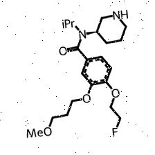 COCCCOc1cc(C(=O)N(C(C)C)[C@@H]2CCCNC2)ccc1OCCF